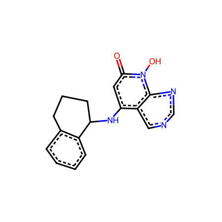 O=c1cc(NC2CCCc3ccccc32)c2cncnc2n1O